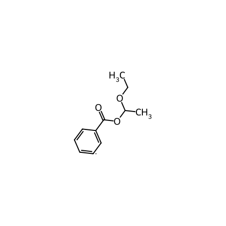 CCOC(C)OC(=O)c1c[c]ccc1